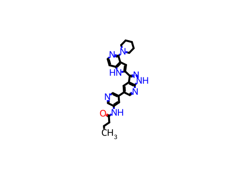 CCCC(=O)Nc1cncc(-c2cnc3[nH]nc(-c4cc5c(N6CCCCC6)nccc5[nH]4)c3c2)c1